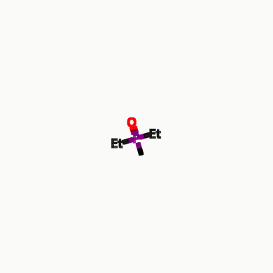 CCP(C)(=O)CC